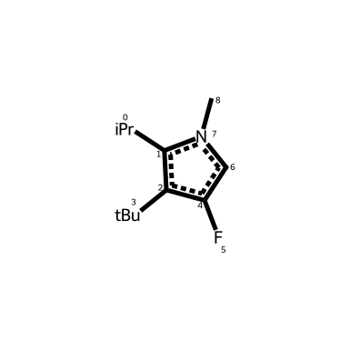 CC(C)c1c(C(C)(C)C)c(F)cn1C